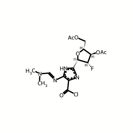 CC(=O)OC[C@H]1O[C@@H](c2nc(C(=O)Cl)c(N=CN(C)C)[nH]2)[C@@H](F)[C@@H]1OC(C)=O